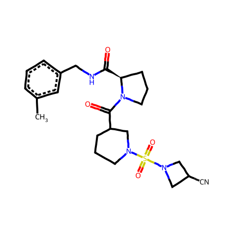 Cc1cccc(CNC(=O)[C@H]2CCCN2C(=O)C2CCCN(S(=O)(=O)N3CC(C#N)C3)C2)c1